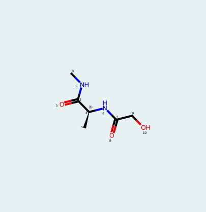 CNC(=O)[C@H](C)NC(=O)CO